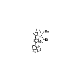 CCCCC1/C=C/C(C)c2cc3c(s2)-c2sc(-c4ccc(C(C)(C)C)c5nsnc45)cc2S3(CC(CC)CCCC)C1